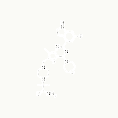 Cc1c(CN2CCN(C(C)(C)C(N)=O)CC2)sc2c(N3CCOCC3)nc(-c3cc(F)cc4[nH]ccc34)nc12